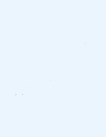 CC(CCOc1ccc(CCN)cc1)C(=O)O